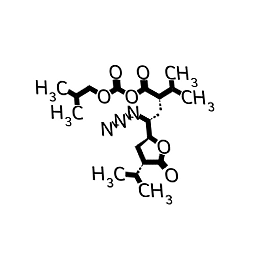 CC(C)COC(=O)OC(=O)[C@@H](C[C@@H](N=[N+]=[N-])[C@@H]1C[C@@H](C(C)C)C(=O)O1)C(C)C